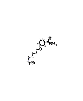 CCCC/C=C\CCCCOc1cccc(C(N)=O)c1